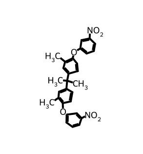 Cc1cc(C(C)(C)c2ccc(Oc3cccc([N+](=O)[O-])c3)c(C)c2)ccc1Oc1cccc([N+](=O)[O-])c1